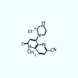 CC[C@@H]1CNCCN1c1cc(=O)n(C)c2ccc(C#N)nc12